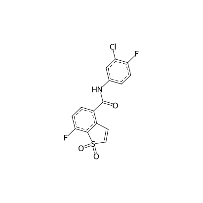 O=C(Nc1ccc(F)c(Cl)c1)c1ccc(F)c2c1C=CS2(=O)=O